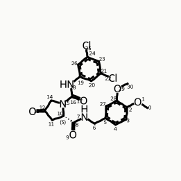 COc1ccc(CNC(=O)[C@@H]2CC(=O)CN2C(=O)Nc2cc(Cl)cc(Cl)c2)cc1OC